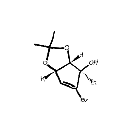 CC[C@]1(O)C(Br)=C[C@@H]2OC(C)(C)O[C@@H]21